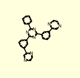 c1ccc(-c2nc(-c3cccc(-c4cnccn4)c3)nc(-c3cccc(-c4cnccn4)c3)n2)cc1